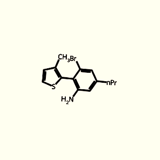 CCCc1cc(N)c(-c2sccc2C)c(Br)c1